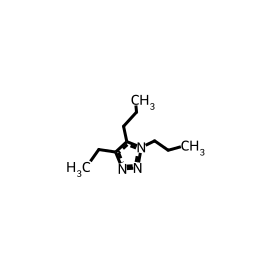 CCCc1c(CC)nnn1CCC